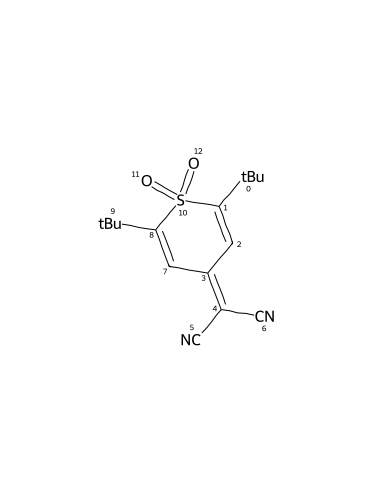 CC(C)(C)C1=CC(=C(C#N)C#N)C=C(C(C)(C)C)S1(=O)=O